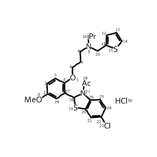 COc1ccc(OCCCN(Cc2cccs2)C(C)C)c(C2Sc3cc(Cl)ccc3N2C(C)=O)c1.Cl